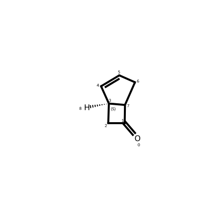 O=C1C[C@H]2C=CCC12